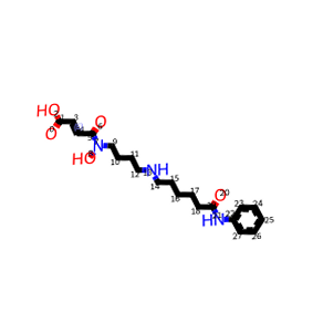 O=C(O)/C=C/C(=O)N(O)CCCCNCCCCCC(=O)Nc1ccccc1